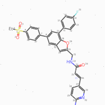 CCS(=O)(=O)c1ccc(-c2cc(-c3ccc(F)cc3)c3oc(CNC(=O)/C=C/c4ccc(N)nc4)cc3c2)cc1